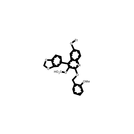 CCOc1ccc2nc(OCc3ccccc3OC)c(OC(=O)O)c(-c3ccc4c(c3)OCO4)c2c1